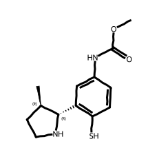 COC(=O)Nc1ccc(S)c([C@@H]2NCC[C@H]2C)c1